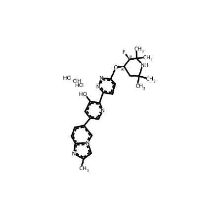 Cc1cn2cc(-c3cnc(-c4ccc(O[C@@H]5CC(C)(C)NC(C)(C)[C@@H]5F)nn4)c(O)c3)ccc2n1.Cl.Cl.Cl